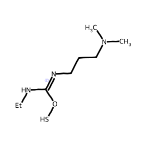 CCN/C(=N/CCCN(C)C)OS